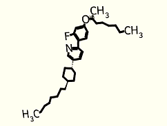 CCCCCCCC[C@H]1CC[C@H](c2ccc(-c3ccc(O[C@@H](C)CCCCCC)cc3F)nc2)CC1